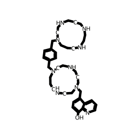 Oc1ccc(CN2CCCNCCN(Cc3ccc(CN4CCCNCCNCCCNCC4)cc3)CCCNCC2)c2cccnc12